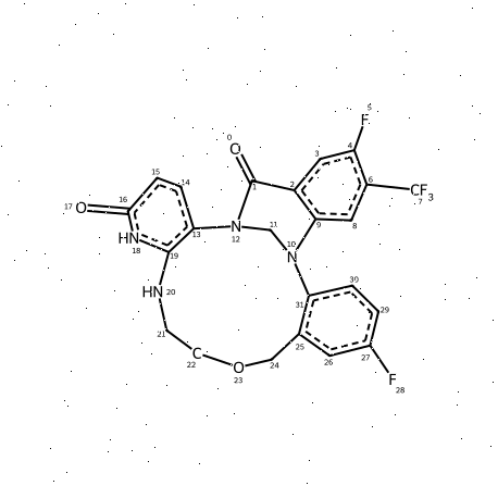 O=C1c2cc(F)c(C(F)(F)F)cc2N2CN1c1ccc(=O)[nH]c1NCCOCc1cc(F)ccc12